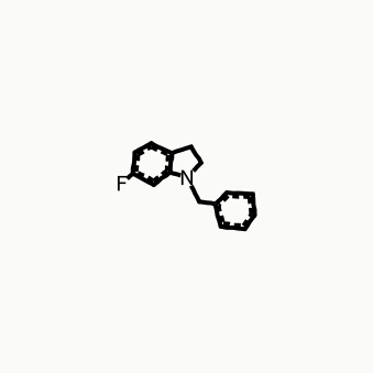 Fc1ccc2c(c1)N(Cc1ccccc1)CC2